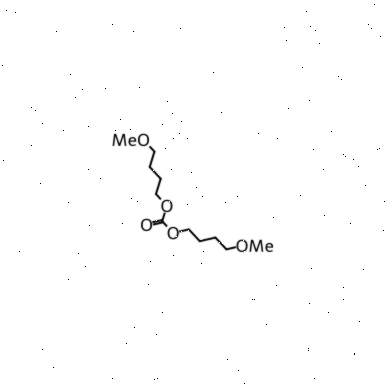 COCCCCOC(=O)OCCCCOC